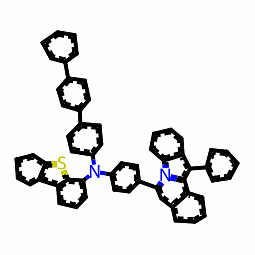 c1ccc(-c2ccc(-c3ccc(N(c4ccc(-c5cc6ccccc6c6c(-c7ccccc7)c7ccccc7n56)cc4)c4cccc5c4sc4ccccc45)cc3)cc2)cc1